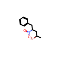 [CH2]C(Br)CC(Cc1ccccc1)[N+](=O)[O-]